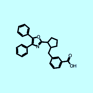 O=C(O)c1cccc(CC2CCCC2c2nc(-c3ccccc3)c(-c3ccccc3)o2)c1